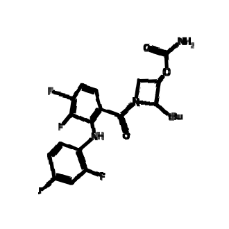 CC(C)(C)C1C(OC(N)=O)CN1C(=O)c1ccc(F)c(F)c1Nc1ccc(I)cc1F